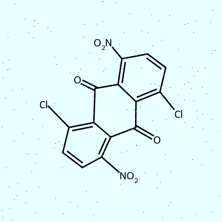 O=C1c2c(Cl)ccc([N+](=O)[O-])c2C(=O)c2c(Cl)ccc([N+](=O)[O-])c21